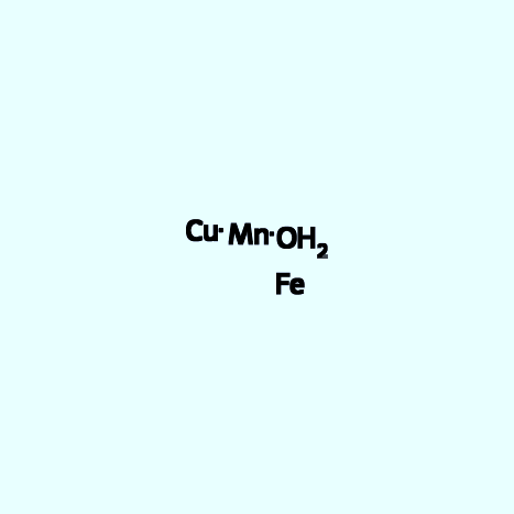 O.[Cu].[Fe].[Mn]